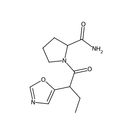 CCC(C(=O)N1CCCC1C(N)=O)c1cnco1